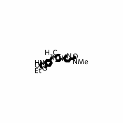 CCC1Oc2ccc(CN3CCN(c4ccc(C(=O)NC)nc4)CC3C)cc2NC1=O